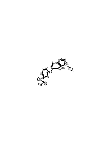 CCn1cnc2ccc(Oc3cccc(S(C)(=O)=O)c3)cc21